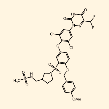 COc1ccc(COc2ccc(Oc3c(Cl)cc(-n4nc(C(F)F)c(=O)[nH]c4=O)cc3Cl)cc2S(=O)(=O)N2CCC(CNS(C)(=O)=O)C2)cc1